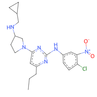 CCCc1cc(N2CCC(NCC3CC3)C2)nc(Nc2ccc(Cl)c([N+](=O)[O-])c2)n1